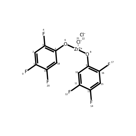 Fc1cc(F)c([O][Zr+2][O]c2cc(F)c(F)cc2F)cc1F.[Cl-].[Cl-]